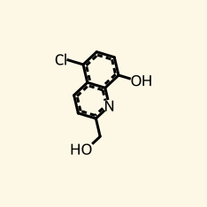 OCc1ccc2c(Cl)ccc(O)c2n1